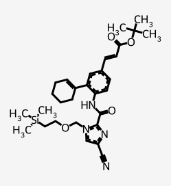 CC(C)(C)OC(=O)/C=C/c1ccc(NC(=O)c2nc(C#N)cn2COCC[Si](C)(C)C)c(C2=CCCCC2)c1